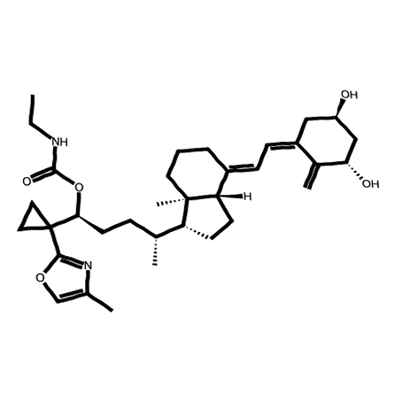 C=C1/C(=C\C=C2/CCC[C@]3(C)[C@@H]([C@H](C)CC[C@H](OC(=O)NCC)C4(c5nc(C)co5)CC4)CC[C@@H]23)C[C@@H](O)C[C@@H]1O